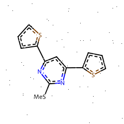 CSc1nc(-c2cccs2)cc(-c2cccs2)n1